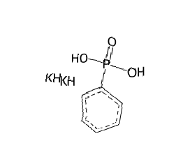 O=P(O)(O)c1ccccc1.[KH].[KH]